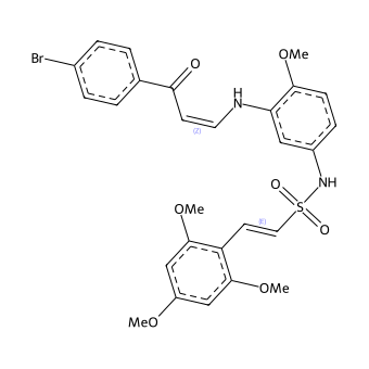 COc1cc(OC)c(/C=C/S(=O)(=O)Nc2ccc(OC)c(N/C=C\C(=O)c3ccc(Br)cc3)c2)c(OC)c1